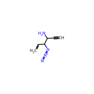 C#CC(N)C(C=C)N=[N+]=[N-]